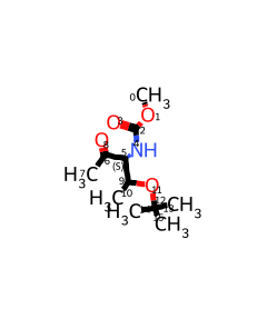 COC(=O)N[C@H](C(C)=O)C(C)OC(C)(C)C